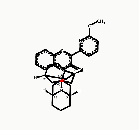 COc1cccc(-c2nc3ccccc3n([C@H]3C[C@H]4CCC[C@@H](C3)N4[C@@]34C[C@@H]5CCC3[C@@H](C5)C4)c2=O)n1